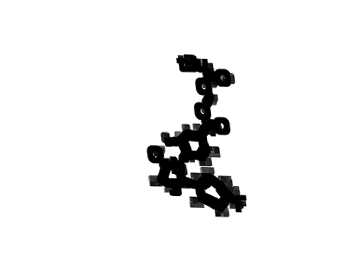 Cc1cc(C(=O)OCOC(=O)C(C)(C)C)ccc1N1C(=O)CSC1c1ccc(F)cc1